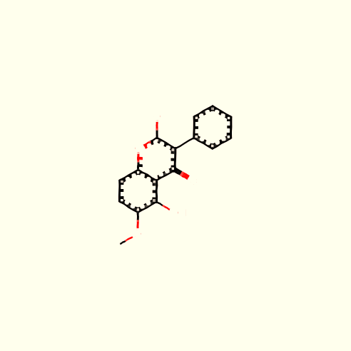 COc1ccc2oc(O)c(-c3ccccc3)c(=O)c2c1O